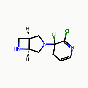 ClC1=NC=CCC1(Cl)N1C[C@@H]2CN[C@@H]2C1